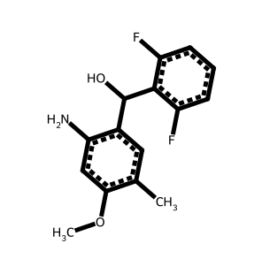 COc1cc(N)c(C(O)c2c(F)cccc2F)cc1C